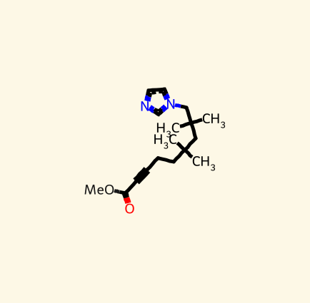 COC(=O)C#CCCC(C)(C)CC(C)(C)Cn1ccnc1